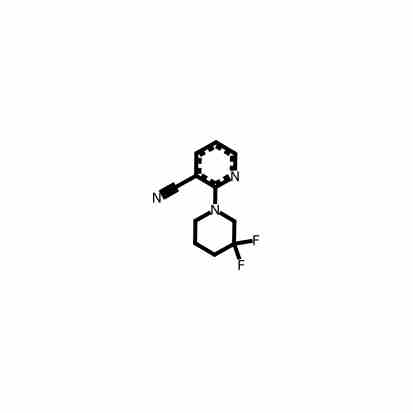 N#Cc1cccnc1N1CCCC(F)(F)C1